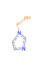 P=Pn1ccnc1